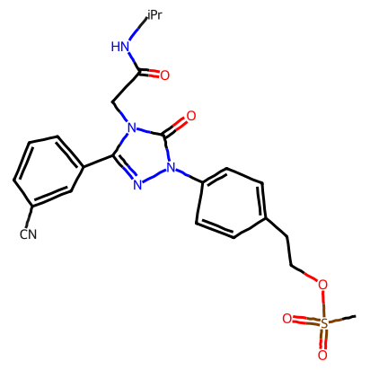 CC(C)NC(=O)Cn1c(-c2cccc(C#N)c2)nn(-c2ccc(CCOS(C)(=O)=O)cc2)c1=O